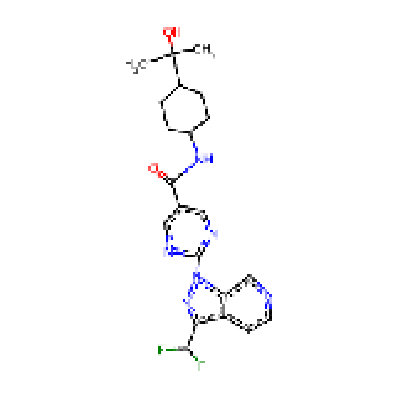 CC(C)(O)C1CCC(NC(=O)c2cnc(-n3nc(C(F)F)c4ccncc43)nc2)CC1